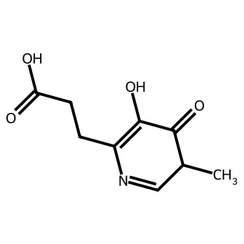 CC1C=NC(CCC(=O)O)=C(O)C1=O